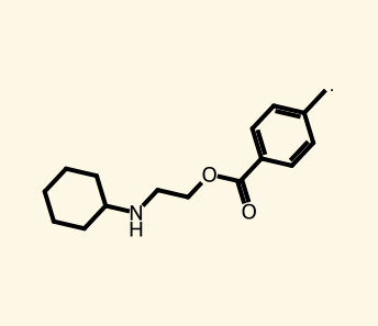 [CH2]c1ccc(C(=O)OCCNC2CCCCC2)cc1